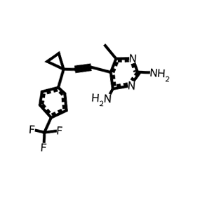 Cc1nc(N)nc(N)c1C#CC1(c2ccc(C(F)(F)F)cc2)CC1